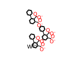 O=C([O-])c1cccc(-c2ccccc2)c1C(=O)[O-].O=C([O-])c1cccc(-c2ccccc2)c1C(=O)[O-].O=C([O-])c1cccc(-c2ccccc2)c1C(=O)[O-].[W+6]